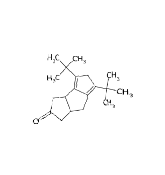 CC(C)(C)C1=C2CC3CC(=O)CC3C2=C(C(C)(C)C)C1